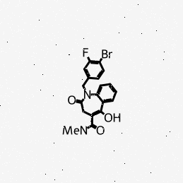 CNC(=O)C1=C(O)c2ccccc2N(Cc2ccc(Br)c(F)c2)C(=O)C1